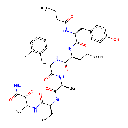 CCCCC(NC(=O)[C@H](CC(C)C)NC(=O)[C@@H](NC(=O)[C@H](Cc1ccccc1C)NC(=O)[C@H](CCC(=O)O)NC(=O)[C@H](Cc1ccc(O)cc1)NC(=O)CCC(=O)O)C(C)(C)C)C(=O)C(N)=O